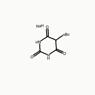 CCCCC1C(=O)NC(=O)NC1=O.[NaH]